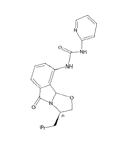 CC(C)C[C@@H]1COC2c3c(NC(=O)Nc4ccccn4)cccc3C(=O)N21